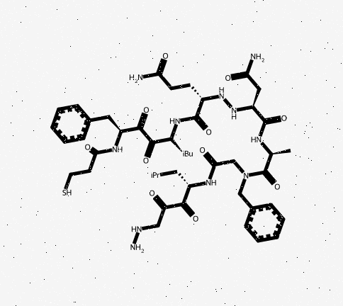 CC[C@H](C)C(NC(=O)[C@H](CCC(N)=O)NN[C@@H](CC(N)=O)C(=O)N[C@@H](C)C(=O)N(CC(=O)N[C@@H](CC(C)C)C(=O)C(=O)CNN)Cc1ccccc1)C(=O)C(=O)[C@H](Cc1ccccc1)NC(=O)CCS